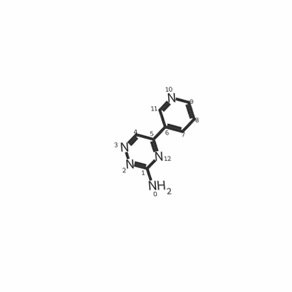 Nc1nncc(-c2cccnc2)n1